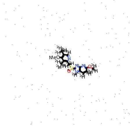 [2H]c1nc(C([2H])([2H])[S+]([O-])c2nc3nc(OC([2H])([2H])[2H])c([2H])c([2H])c3n2[2H])c(C([2H])([2H])[2H])c(OC)c1C([2H])([2H])[2H]